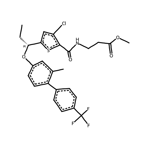 CC[C@@H](Oc1ccc(-c2ccc(C(F)(F)F)cc2)c(C)c1)c1cc(Cl)c(C(=O)NCCC(=O)OC)s1